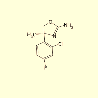 C[C@]1(c2ccc(F)cc2Cl)COC(N)=N1